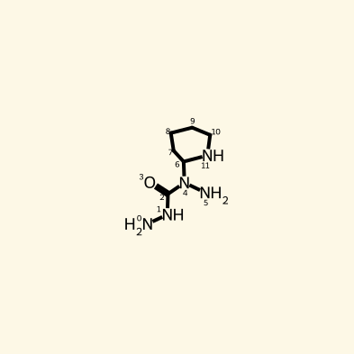 NNC(=O)N(N)C1CCCCN1